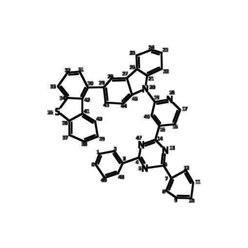 c1ccc(-c2nc(-c3ccccc3)nc(-c3ccnc(-n4c5ccccc5c5cc(-c6cccc7sc8ccccc8c67)ccc54)c3)n2)cc1